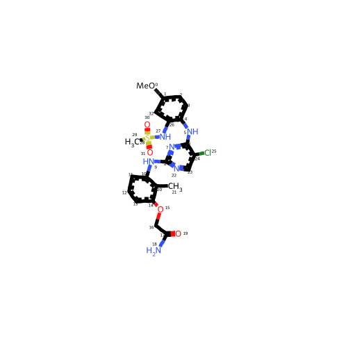 COc1ccc(Nc2nc(Nc3cccc(OCC(N)=O)c3C)ncc2Cl)c(NS(C)(=O)=O)c1